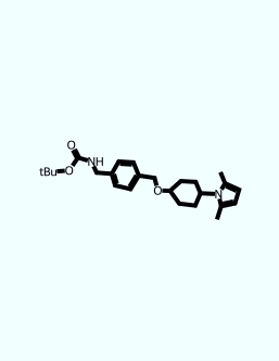 Cc1ccc(C)n1C1CCC(OCc2ccc(CNC(=O)OC(C)(C)C)cc2)CC1